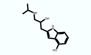 CC(C)NCC(O)Cc1cc2c(O)cccc2[nH]1